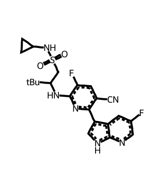 CC(C)(C)C(CS(=O)(=O)NC1CC1)Nc1nc(-c2c[nH]c3ncc(F)cc23)c(C#N)cc1F